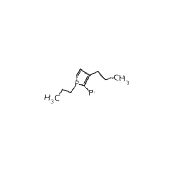 CCCc1ccp(CCC)c1[P]